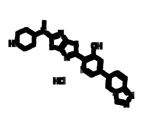 CN(c1nc2sc(-c3ncc(-c4ccc5nncn5c4)cc3O)nc2s1)C1CCNCC1.Cl